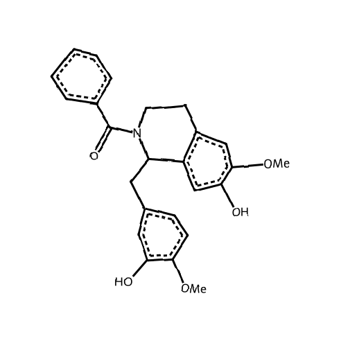 COc1ccc(CC2c3cc(O)c(OC)cc3CCN2C(=O)c2ccccc2)cc1O